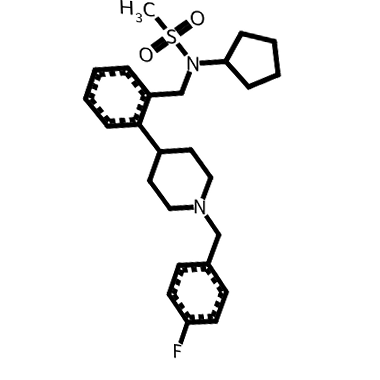 CS(=O)(=O)N(Cc1ccccc1C1CCN(Cc2ccc(F)cc2)CC1)C1CCCC1